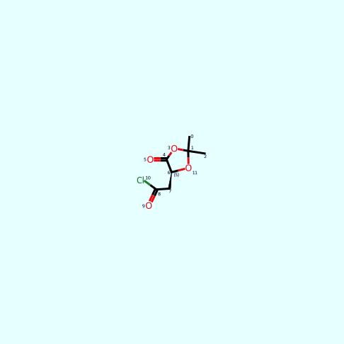 CC1(C)OC(=O)[C@H](CC(=O)Cl)O1